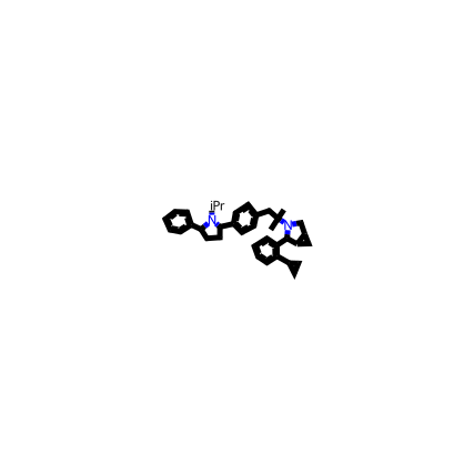 CC(C)N1C(c2ccccc2)CCC1c1ccc(CC(C)(C)N2CC3CC3C2c2ccccc2C2CC2)cc1